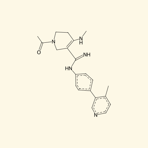 CNC1=C(C(=N)Nc2ccc(-c3cnccc3C)cc2)CN(C(C)=O)CC1